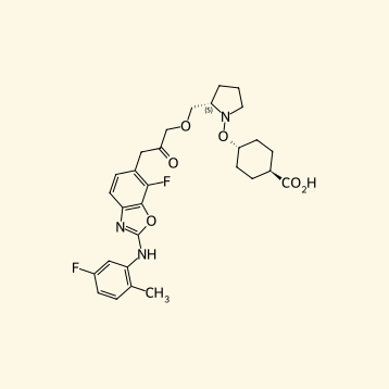 Cc1ccc(F)cc1Nc1nc2ccc(CC(=O)COC[C@@H]3CCCN3O[C@H]3CC[C@H](C(=O)O)CC3)c(F)c2o1